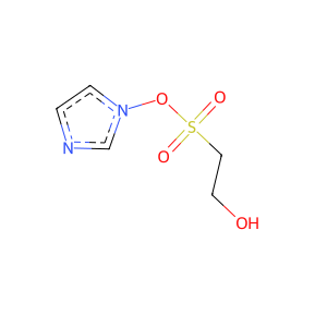 O=S(=O)(CCO)On1ccnc1